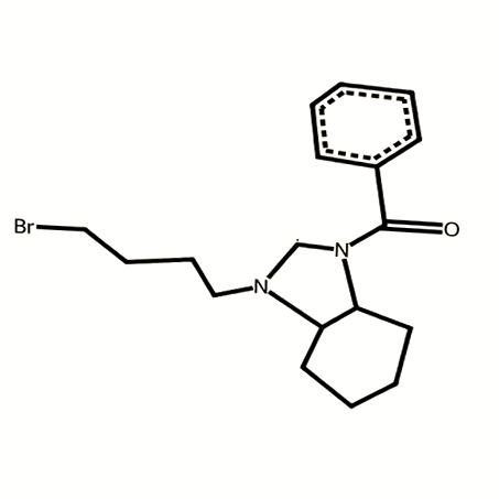 O=C(c1ccccc1)N1[CH]N(CCCCBr)C2CCCCC21